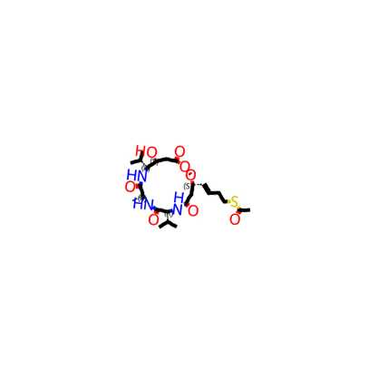 CC(=O)SCCC=C[C@@H]1CC(=O)N[C@H](C(C)C)C(=O)N[C@H](C)C(=O)N[C@H](C(C)C)[C@@H](O)CC(=O)OO1